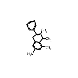 C=C1C(C)=C(c2ccccc2)Cc2cc(N)cc(C)c21